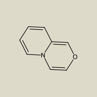 C1=CC2=COC=CN2C=C1